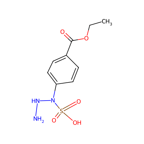 CCOC(=O)c1ccc(N(NN)S(=O)(=O)O)cc1